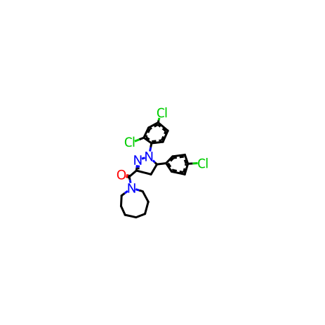 O=C(C1=NN(c2ccc(Cl)cc2Cl)C(c2ccc(Cl)cc2)C1)N1CCCCCCC1